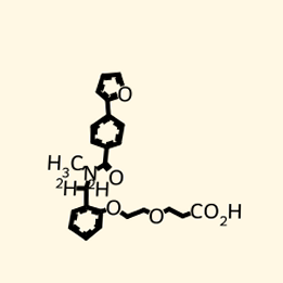 [2H]C([2H])(c1ccccc1OCCOCCC(=O)O)N(C)C(=O)c1ccc(-c2ccco2)cc1